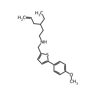 C=CCC(CC)CCNCc1ccc(-c2ccc(OC)cc2)s1